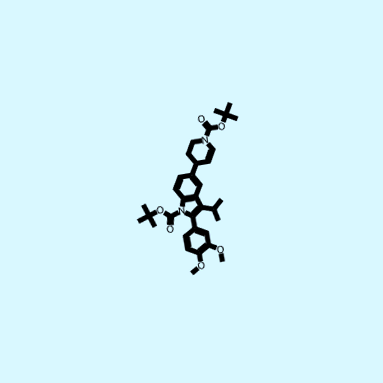 COc1ccc(-c2c(C(C)C)c3cc(C4C=CN(C(=O)OC(C)(C)C)CC4)ccc3n2C(=O)OC(C)(C)C)cc1OC